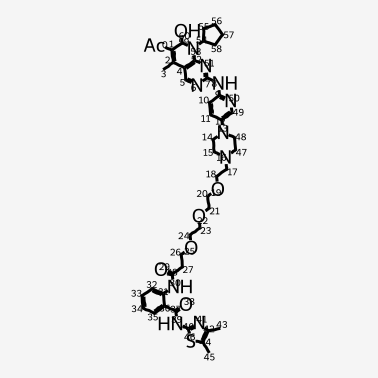 CC(=O)C1=C(C)c2cnc(Nc3ccc(N4CCN(CCOCCOCCOCCC(=O)Nc5ccccc5C(=O)Nc5nc(C)c(C)s5)CC4)cn3)nc2N(C2CCCC2)C1O